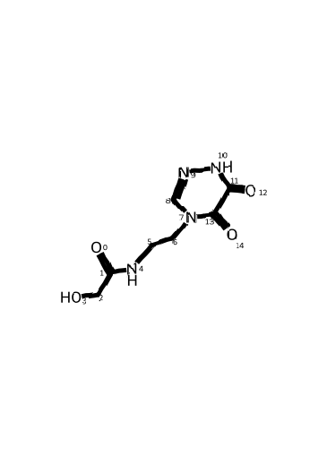 O=C(CO)NCCn1[c]n[nH]c(=O)c1=O